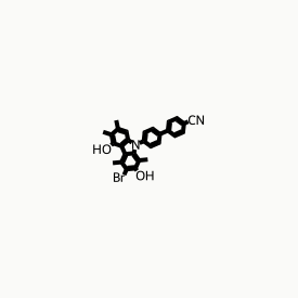 Cc1cc2c(c(O)c1C)c1c(C)c(Br)c(O)c(C)c1n2-c1ccc(-c2ccc(C#N)cc2)cc1